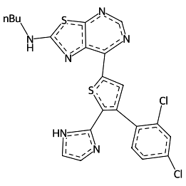 CCCCNc1nc2c(-c3cc(-c4ccc(Cl)cc4Cl)c(-c4ncc[nH]4)s3)ncnc2s1